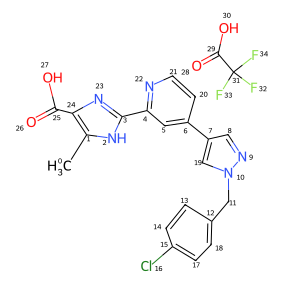 Cc1[nH]c(-c2cc(-c3cnn(Cc4ccc(Cl)cc4)c3)ccn2)nc1C(=O)O.O=C(O)C(F)(F)F